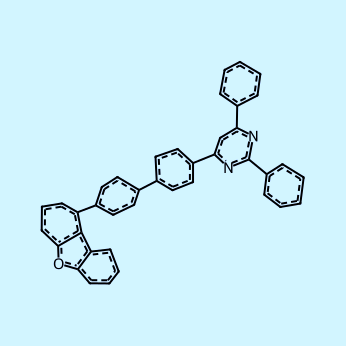 c1ccc(-c2cc(-c3ccc(-c4ccc(-c5cccc6oc7ccccc7c56)cc4)cc3)nc(-c3ccccc3)n2)cc1